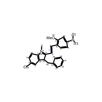 CCN(CC)c1ccc(/C=C/C2=[N+](C)c3ccc(Cl)cc3C2Cc2ccccc2)c(OC)c1